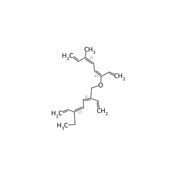 C=C/C(C)=C\C=C(/C=C)OC/C(C=C)=C/C=C(\C=C)CC